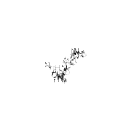 CN(C)CCOc1ccc(F)c(-n2nc(C(C)(C)C)cc2NC(=O)N[C@H]2CC[C@@H](Oc3ccc4nnc(N5CCCCC5)n4c3)c3ccccc32)c1